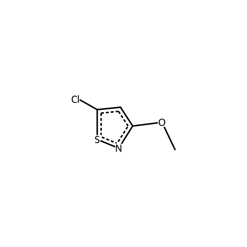 COc1cc(Cl)sn1